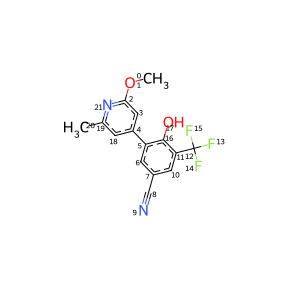 COc1cc(-c2cc(C#N)cc(C(F)(F)F)c2O)cc(C)n1